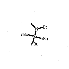 CCCC[Si](CCCC)(CCCC)N(C)CC